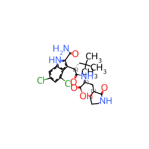 CC(C)(C)C[C@H](C(=O)N[C@@H](C[C@@H]1CCCNC1=O)C(=O)O)c1c(C(N)=O)[nH]c2cc(Cl)cc(Cl)c12